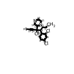 C=CCC(c1ccc(Cl)cc1Cl)C(O)(C#CI)c1cnccn1